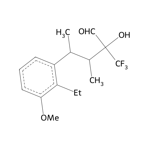 CCc1c(OC)cccc1C(C)C(C)C(O)(C=O)C(F)(F)F